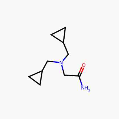 NC(=O)CN(CC1CC1)CC1CC1